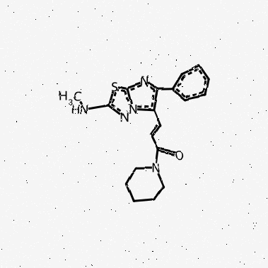 CNc1nn2c(/C=C/C(=O)N3CCCCC3)c(-c3ccccc3)nc2s1